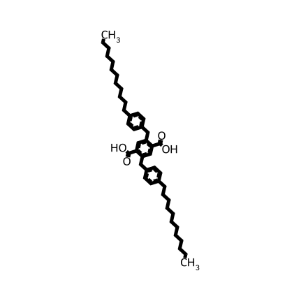 CCCCCCCCCCCCc1ccc(Cc2cc(C(=O)O)c(Cc3ccc(CCCCCCCCCCCC)cc3)cc2C(=O)O)cc1